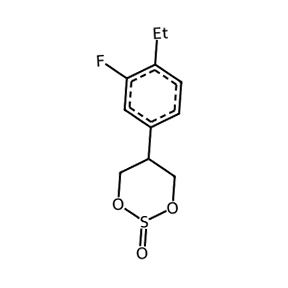 CCc1ccc(C2COS(=O)OC2)cc1F